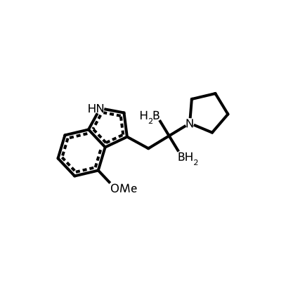 BC(B)(Cc1c[nH]c2cccc(OC)c12)N1CCCC1